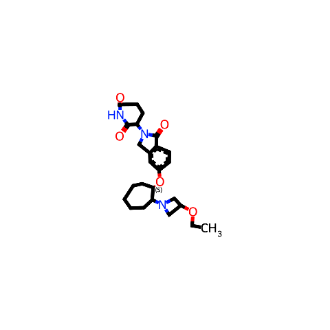 CCOC1CN(C2CCCCC[C@@H]2Oc2ccc3c(c2)CN(C2CCC(=O)NC2=O)C3=O)C1